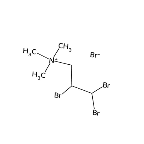 C[N+](C)(C)CC(Br)C(Br)Br.[Br-]